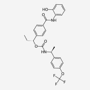 CC[C@@H](OC(=O)N[C@@H](C)c1ccc(OC(F)(F)F)cc1)c1ccc(C(=O)Nc2ccccc2O)cc1